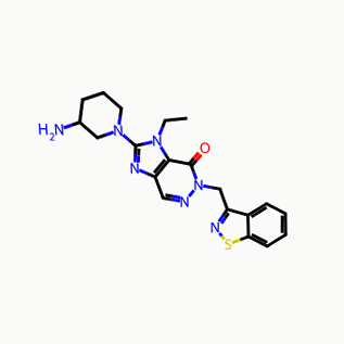 CCn1c(N2CCCC(N)C2)nc2cnn(Cc3nsc4ccccc34)c(=O)c21